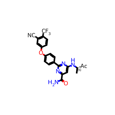 CC(=O)[C@H](C)Nc1cc(C(N)=O)nc(-c2ccc(Oc3ccc(C(F)(F)F)c(C#N)c3)cc2)n1